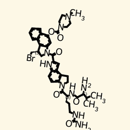 CC(C)[C@H](N)C(=O)N[C@@H](CCCNC(N)=O)C(=O)N1CCc2c1ccc1[nH]c(C(=O)N3C[C@@H](CBr)c4c3cc(OC(=O)N3CCN(C)CC3)c3ccccc43)cc21